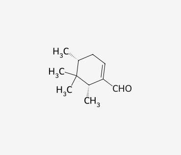 C[C@@H]1CC=C(C=O)[C@H](C)C1(C)C